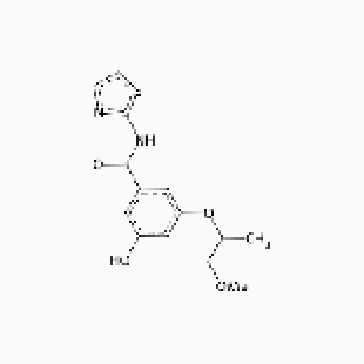 COCC(C)Oc1cc(O)cc(C(=O)Nc2nccs2)c1